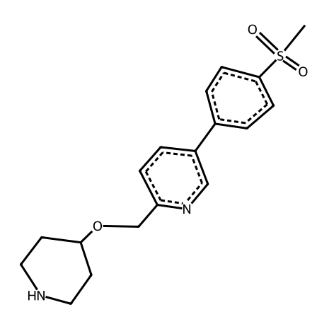 CS(=O)(=O)c1ccc(-c2ccc(COC3CCNCC3)nc2)cc1